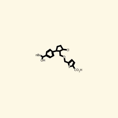 CCCCC(O)c1ccc(C2CCC(Cl)C2COCc2ccc(C(=O)O)s2)cc1